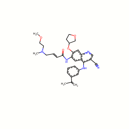 C=C(C)c1cccc(Nc2c(C#N)cnc3cc(OC4CCOC4)c(NC(=O)/C=C/CN(C)CCOC)cc23)c1